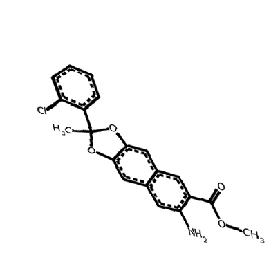 COC(=O)c1cc2cc3c(cc2cc1N)OC(C)(c1ccccc1Cl)O3